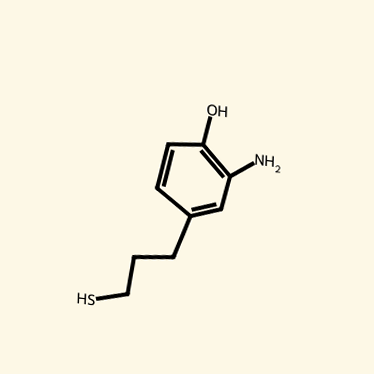 Nc1cc(CCCS)ccc1O